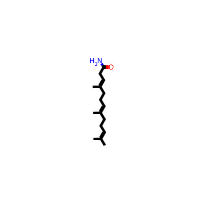 CC(C)=CCC/C(C)=C/CC/C(C)=C/CC(N)=O